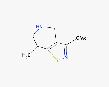 COc1nsc2c1CNCC2C